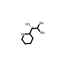 CC(C)(C)C([C@@H](O)C1CCCCN1)C(C)(C)C